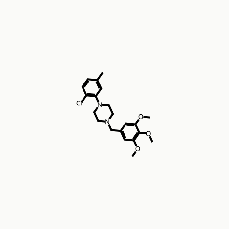 COc1cc(CN2CCN(c3cc(C)ccc3Cl)CC2)cc(OC)c1OC